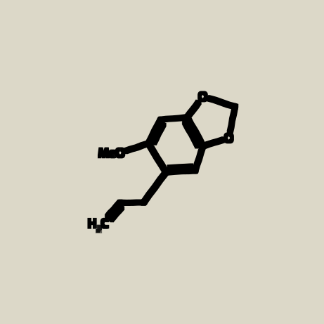 C=CCc1cc2c(cc1OC)OCO2